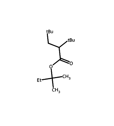 CCC(C)(C)OC(=O)C(CC(C)(C)C)C(C)(C)C